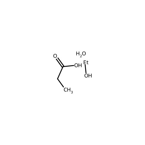 CCC(=O)O.CCO.O